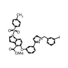 COC(=O)c1c(Oc2cccc(-c3ccn(Cc4cccc(I)c4)n3)c2)ccc2c1ccn2S(=O)(=O)c1ccc(C)cc1